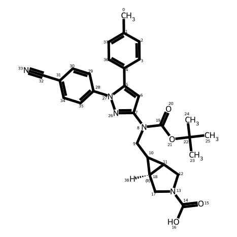 Cc1ccc(-c2cc(N(CC3C4CN(C(=O)O)C[C@H]43)C(=O)OC(C)(C)C)nn2-c2ccc(C#N)cc2)cc1